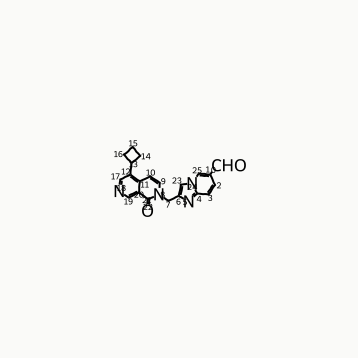 O=Cc1ccc2nc(Cn3ccc4c(C5CCC5)cncc4c3=O)cn2c1